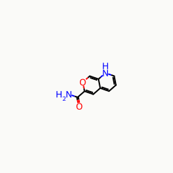 NC(=O)C1=CC2=CC=CNC2=CO1